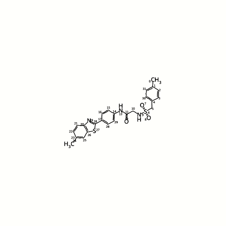 Cc1ccc(CS(=O)(=O)NCC(=O)Nc2ccc(-c3nc4ccc(C)cc4s3)cc2)cc1